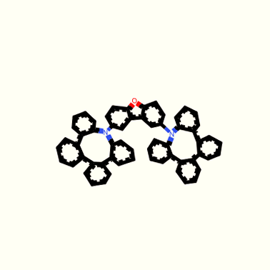 c1ccc2c(c1)c1ccccc1c1ccccc1n(-c1ccc3oc4ccc(-n5c6ccccc6c6ccccc6c6ccccc6c6ccccc65)cc4c3c1)c1ccccc21